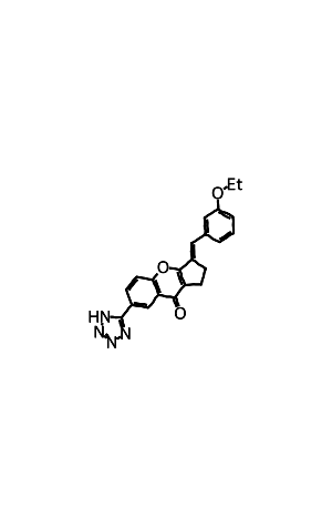 CCOc1cccc(C=C2CCc3c2oc2ccc(-c4nnn[nH]4)cc2c3=O)c1